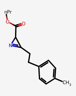 CCCOC(=O)C1N=C1CCc1ccc(C)cc1